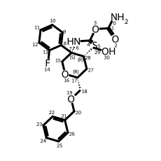 NC(=O)OC(=S)N[C@@]1(c2ccccc2F)CO[C@@H](COCc2ccccc2)C[C@H]1CO